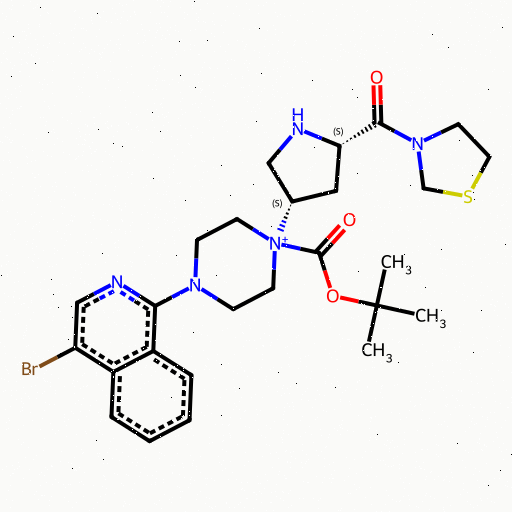 CC(C)(C)OC(=O)[N+]1([C@@H]2CN[C@H](C(=O)N3CCSC3)C2)CCN(c2ncc(Br)c3ccccc23)CC1